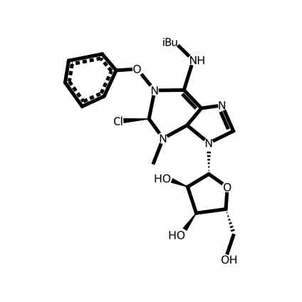 CCC(C)NC1=C2N=CN([C@@H]3O[C@H](CO)[C@@H](O)[C@H]3O)C2N(C)[C@@H](Cl)N1Oc1ccccc1